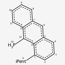 CCCC(C)c1cccc2cc3ccccc3c(P)c12